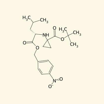 CC(C)C[C@H](NC1(C(=O)OC(C)(C)C)CC1)C(=O)OCc1ccc([N+](=O)[O-])cc1